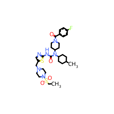 CCS(=O)(=O)N1CCN(Cc2cnc(NC(=O)N(C3CCC(C)CC3)C3CCN(C(=O)c4ccc(F)cc4)CC3)s2)CC1